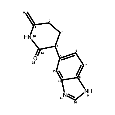 C=C1CCC(c2ccc3[nH]cnc3c2)C(=O)N1